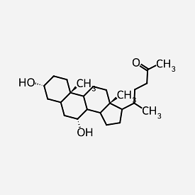 CC(=O)CCC(C)C1CCC2C3C(CC[C@]12C)[C@@]1(C)CC[C@@H](O)CC1C[C@H]3O